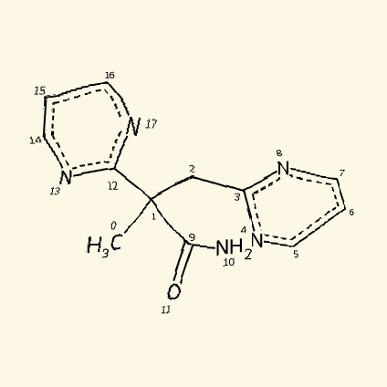 CC(Cc1ncccn1)(C(N)=O)c1ncccn1